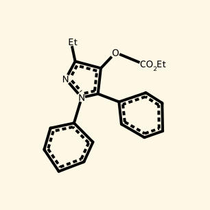 CCOC(=O)Oc1c(CC)nn(-c2ccccc2)c1-c1ccccc1